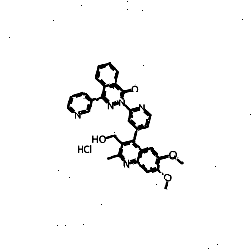 COc1cc2nc(C)c(CO)c(-c3ccnc(-n4nc(-c5cccnc5)c5ccccc5c4=O)c3)c2cc1OC.Cl